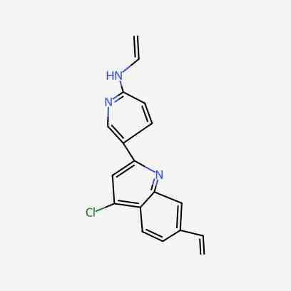 C=CNc1ccc(-c2cc(Cl)c3ccc(C=C)cc3n2)cn1